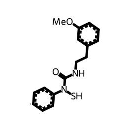 COc1cccc(CCNC(=O)N(S)c2cc[c]cc2)c1